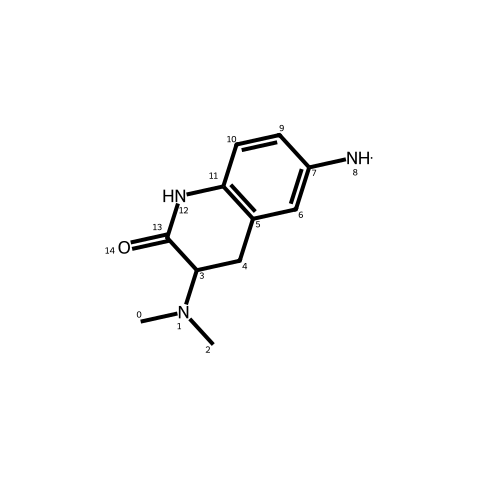 CN(C)C1Cc2cc([NH])ccc2NC1=O